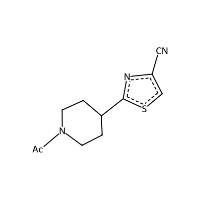 CC(=O)N1CCC(c2nc(C#N)cs2)CC1